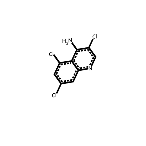 Nc1c(Cl)cnc2cc(Cl)cc(Cl)c12